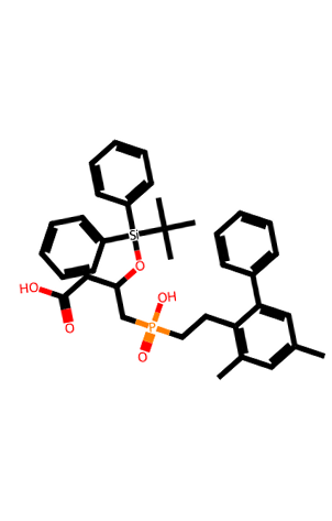 Cc1cc(C)c(CCP(=O)(O)CC(CC(=O)O)O[Si](c2ccccc2)(c2ccccc2)C(C)(C)C)c(-c2ccccc2)c1